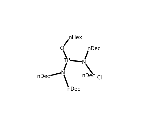 CCCCCCCCCC[N](CCCCCCCCCC)[Ti+]([O]CCCCCC)[N](CCCCCCCCCC)CCCCCCCCCC.[Cl-]